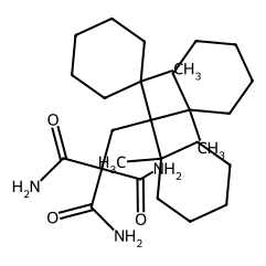 CC1(C(CC(C(N)=O)(C(N)=O)C(N)=O)(C2(C)CCCCC2)C2(C)CCCCC2)CCCCC1